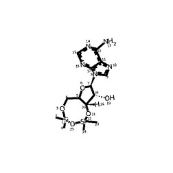 C[Si]1(C)OCC2O[C@@H](n3cnc4c(N)ncnc43)[C@H](O)[C@@H]2O[Si](C)(C)O1